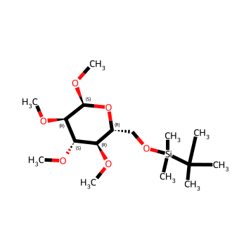 CO[C@H]1O[C@H](CO[Si](C)(C)C(C)(C)C)[C@@H](OC)[C@H](OC)[C@H]1OC